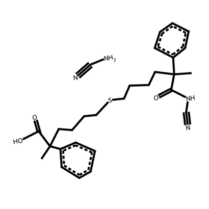 CC(CCCCSCCCCC(C)(C(=O)NC#N)c1ccccc1)(C(=O)O)c1ccccc1.N#CN